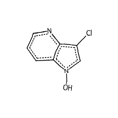 On1cc(Cl)c2ncccc21